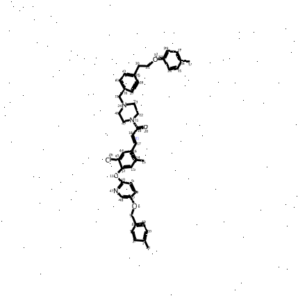 Cc1ccc(COc2ccc(Oc3cc(C)c(/C=C/C(=O)N4CCN(Cc5ccc(CCOc6ccc(C)cc6)cc5)CC4)cc3Cl)nc2)cc1